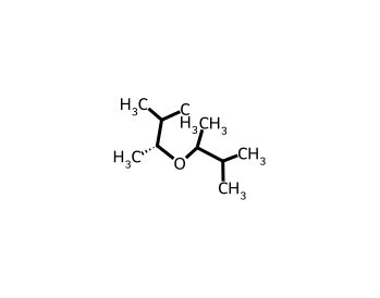 CC(C)C(C)O[C@H](C)C(C)C